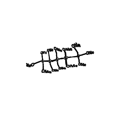 CO[Si](OC)(OC)[Si](OC)(OC)[Si](OC)(OC)[Si](OC)(OC)[Si](OC)(OC)OC